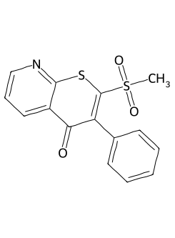 CS(=O)(=O)c1sc2ncccc2c(=O)c1-c1ccccc1